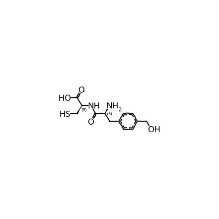 N[C@@H](Cc1ccc(CO)cc1)C(=O)N[C@@H](CS)C(=O)O